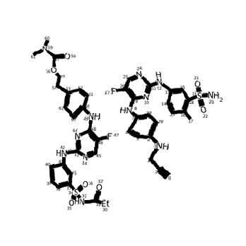 C#CCNc1ccc(Nc2nc(Nc3ccc(C)c(S(N)(=O)=O)c3)ncc2F)cc1.CCC(=O)NS(=O)(=O)c1cccc(Nc2ncc(F)c(Nc3ccc(CCOC(=O)N(C)C)cc3)n2)c1